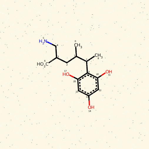 CC(CC(CN)C(=O)O)C(C)c1c(O)cc(O)cc1O